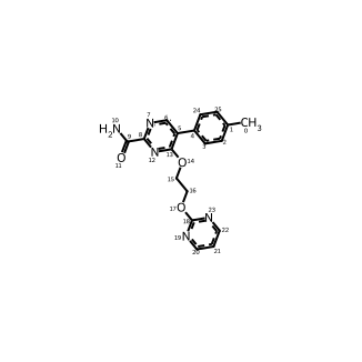 Cc1ccc(-c2[c]nc(C(N)=O)nc2OCCOc2ncccn2)cc1